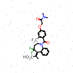 C/C(C(=O)O)=C1\c2ccccc2N(C(=O)c2ccc(OCC(=O)N(C)C)cc2C(F)(F)F)CCC1(F)F